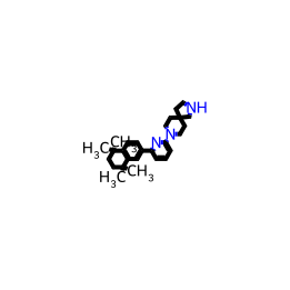 CC1(C)CCC(C)(C)c2cc(-c3cccc(N4CCC5(CCNC5)CC4)n3)ccc21